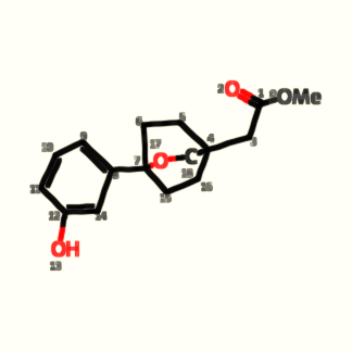 COC(=O)CC12CCC(c3cccc(O)c3)(CC1)OC2